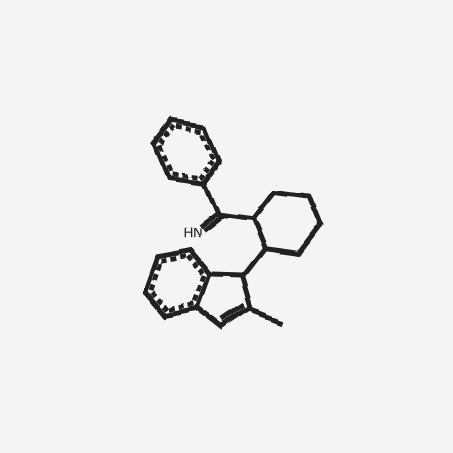 CC1=Cc2ccccc2C1C1CCCCC1C(=N)c1ccccc1